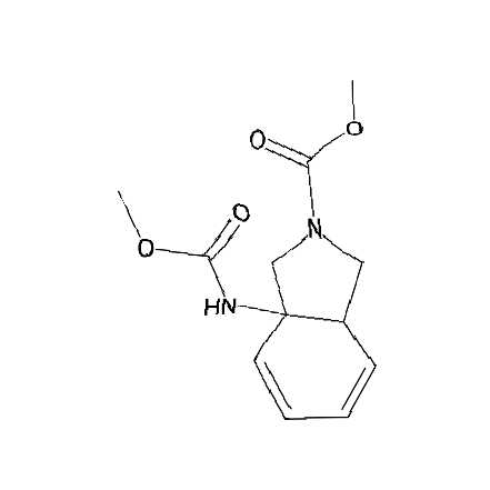 COC(=O)NC12C=CC=CC1CN(C(=O)OC)C2